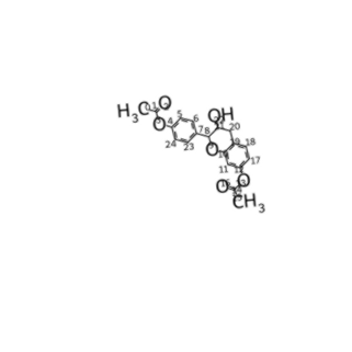 CC(=O)Oc1ccc(C2Oc3cc(OC(C)=O)ccc3CC2O)cc1